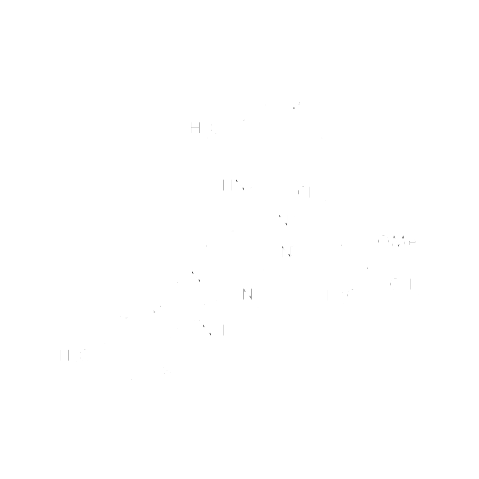 COC(C)(C)CCn1nc(Nc2c(C)cccc2C)c2cnc(Nc3ccc(C)cc3)nc21